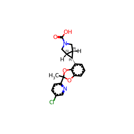 CC1(c2ccc(Cl)cn2)Oc2cccc([C@@H]3[C@@H]4CN(C(=O)O)C[C@@H]43)c2O1